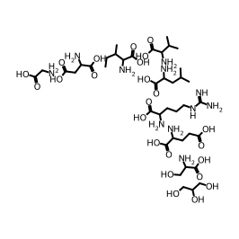 CC(C)C(N)C(=O)O.CC(C)CC(N)C(=O)O.CCC(C)C(N)C(=O)O.N=C(N)NCCCC(N)C(=O)O.NC(CC(=O)O)C(=O)O.NC(CCC(=O)O)C(=O)O.NC(CO)C(=O)O.NCC(=O)O.OCC(O)CO